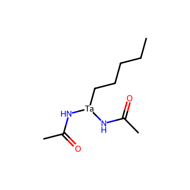 CCCC[CH2][Ta]([NH]C(C)=O)[NH]C(C)=O